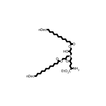 CCCCCCCCCCCCCCCCCCCCCC(=O)OCC(O)CN(CCCCC(N)C(=O)OCC)CC(O)COC(=O)CCCCCCCCCCCCCCCCCCCCC